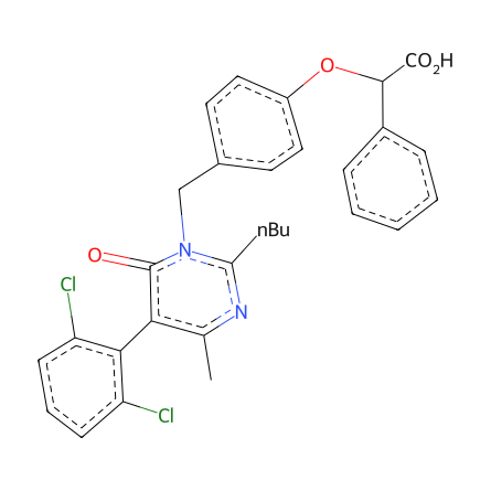 CCCCc1nc(C)c(-c2c(Cl)cccc2Cl)c(=O)n1Cc1ccc(OC(C(=O)O)c2ccccc2)cc1